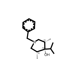 CC(C)[C@@]1(O)[C@H](C)CN(Cc2ccccc2)C[C@@H]1C